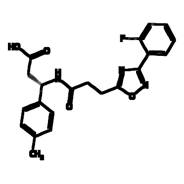 Cc1ccc([C@H](CC(=O)O)NC(=O)CCc2nc(-c3ccccc3F)no2)cc1